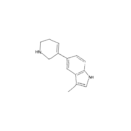 Cc1c[nH]c2ccc(C3=CCCNC3)cc12